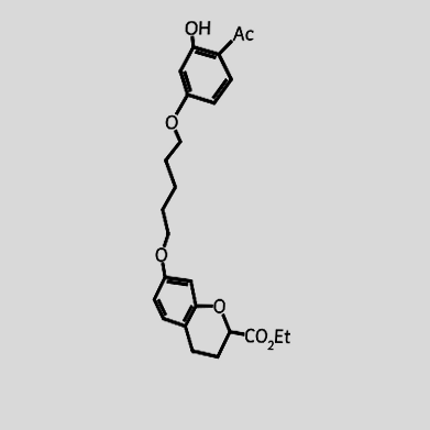 CCOC(=O)C1CCc2ccc(OCCCCCOc3ccc(C(C)=O)c(O)c3)cc2O1